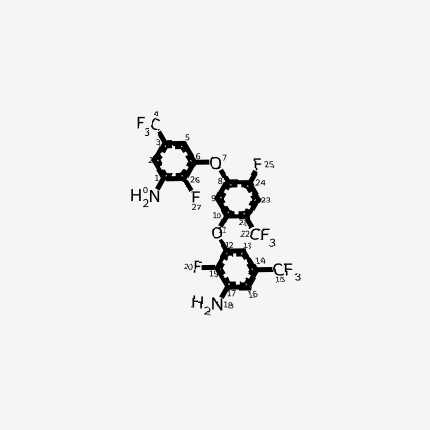 Nc1cc(C(F)(F)F)cc(Oc2cc(Oc3cc(C(F)(F)F)cc(N)c3F)c(C(F)(F)F)cc2F)c1F